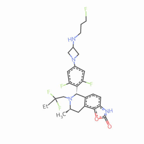 CCC(F)(F)CN1[C@H](c2c(F)cc(N3CC(NCCCF)C3)cc2F)c2ccc3[nH]c(=O)oc3c2C[C@H]1C